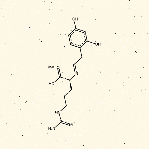 N=C(N)NCCC[C@H](N=CCc1ccc(O)cc1O)C(=O)O.[Mo]